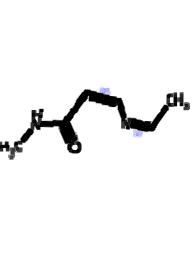 C/C=N\C=C/C(=O)NC